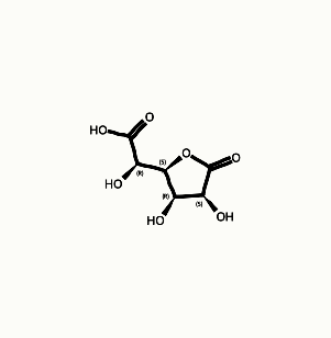 O=C1O[C@H]([C@@H](O)C(=O)O)[C@H](O)[C@@H]1O